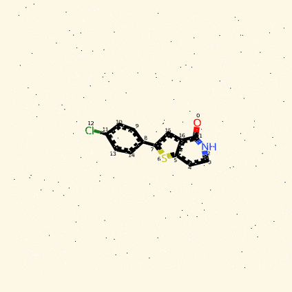 O=c1[nH]ccc2sc(-c3ccc(Cl)cc3)cc12